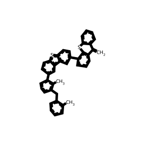 C=C1c2ccccc2Sc2c1cccc2-c1ccc2sc3ccc(-c4cccc(Cc5ccccc5C)c4C)cc3c2c1